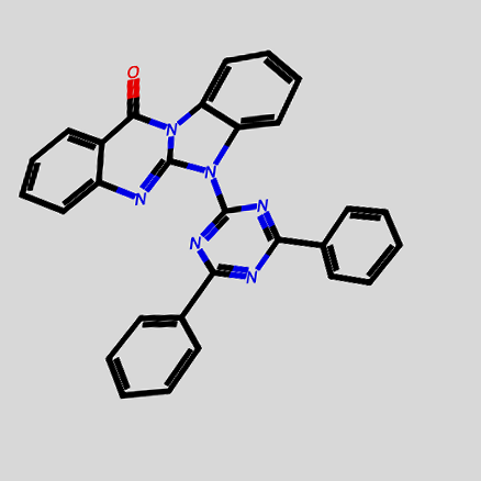 O=c1c2ccccc2nc2n(-c3nc(-c4ccccc4)nc(-c4ccccc4)n3)c3ccccc3n12